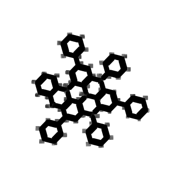 c1ccc(-c2cc3c4c(c2)N(c2ccccc2)c2cc(-c5ccccc5)c5c6c2B4c2c(cc(-c4ccccc4)cc2N6c2ccccc2O5)N3c2ccccc2)cc1